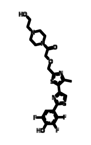 Cc1nc(COCC(=O)N2CCN(CCO)CC2)sc1-c1csc(-c2cc(F)c(O)c(F)c2F)n1